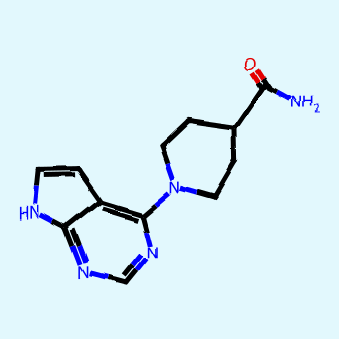 NC(=O)C1CCN(c2ncnc3[nH]ccc23)CC1